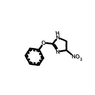 O=[N+]([O-])C1CNC(Oc2ccccc2)=N1